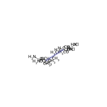 CC1=C(/C=C/C(C)=C/C=C/C(C)=C/C=C/C=C(C)/C=C/C=C(C)/C=C/C2=C(C)C(=O)C(OC(=O)C(CCCCNCl)NCl)CC2(C)C)C(C)(C)CC(OC(=O)C(N)CCCCN)C1=O